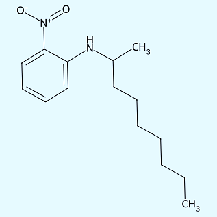 CCCCCCCC(C)Nc1ccccc1[N+](=O)[O-]